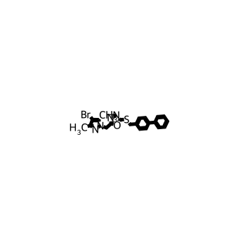 Cc1nn(Cc2nnc(SCc3ccc(-c4ccccc4)cc3)o2)c(C)c1Br